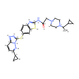 CC(C1CC1)N1CCN(CC(=O)Nc2nc3ccc(Sc4nnc5ccc(C6CC6)nn45)cc3s2)CC1